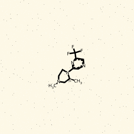 C[C@H]1CN(C)CCN1c1cncc(C(F)(F)F)n1